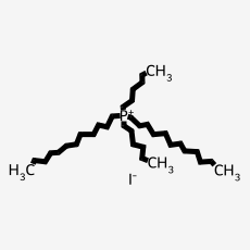 CCCCCCCCCCCC[P+](CCCCCC)(CCCCCC)CCCCCCCCCCCC.[I-]